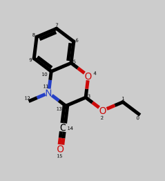 CCOC1Oc2ccccc2N(C)C1=C=O